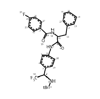 CC(C)(C)NC(c1ccc(NC(=O)C(Cc2ccccc2)NC(=O)c2ccc(F)cc2)cc1)C(F)(F)F